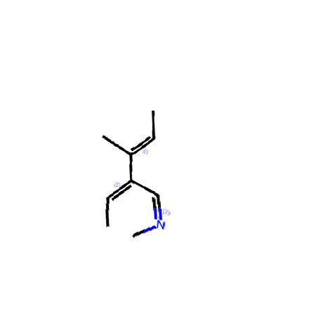 C/C=C(\C=N/C)C(/C)=C/C